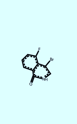 O=c1[nH]cc(Br)c2c(F)cccc12